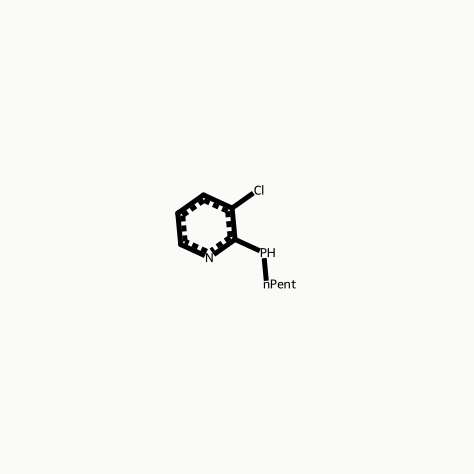 CCCCCPc1ncccc1Cl